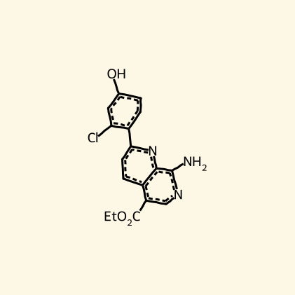 CCOC(=O)c1cnc(N)c2nc(-c3ccc(O)cc3Cl)ccc12